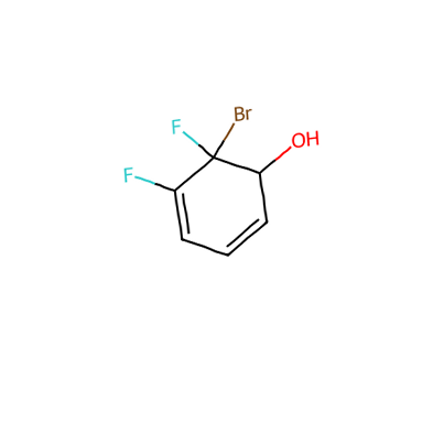 OC1C=CC=C(F)C1(F)Br